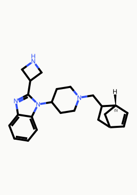 C1=C[C@@H]2CC1CC2CN1CCC(n2c(C3CNC3)nc3ccccc32)CC1